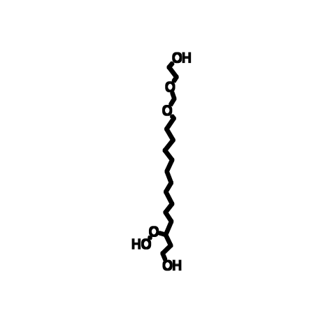 OCCOCOCCCCCCCCCCCC(CCO)OO